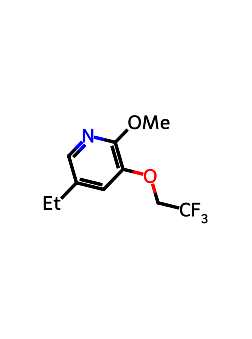 CCc1cnc(OC)c(OCC(F)(F)F)c1